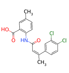 C/C(=C/C(=O)Nc1ccc(C)cc1C(=O)O)c1ccc(Cl)c(Cl)c1